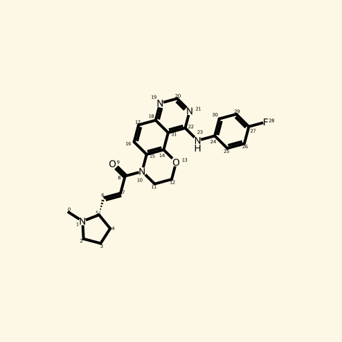 CN1CCC[C@H]1/C=C/C(=O)N1CCOc2c1ccc1ncnc(Nc3ccc(F)cc3)c21